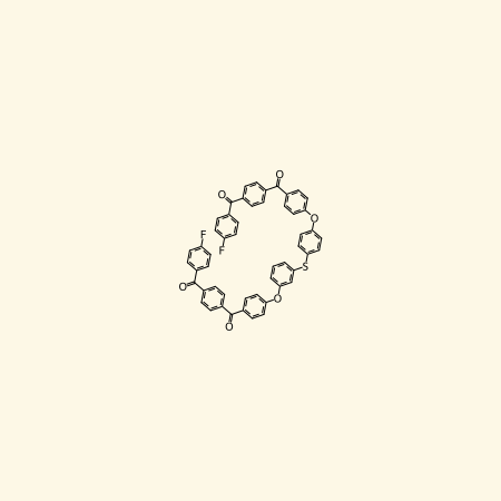 O=C(c1ccc(F)cc1)c1ccc(C(=O)c2ccc(Oc3ccc(Sc4cccc(Oc5ccc(C(=O)c6ccc(C(=O)c7ccc(F)cc7)cc6)cc5)c4)cc3)cc2)cc1